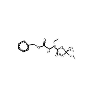 CC(C)(C)OC(=O)[C@H](CI)NC(=O)OCc1ccccc1